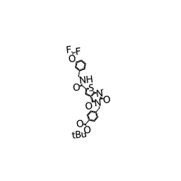 Cn1c(=O)n(Cc2ccc(C(=O)OC(C)(C)C)cc2)c(=O)c2cc(C(=O)NCc3cccc(OC(F)F)c3)sc21